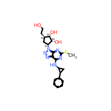 CSc1nc(NC2CC2c2ccccc2)c2nnn([C@H]3C[C@@H](CCO)[C@H](O)[C@@H]3O)c2n1